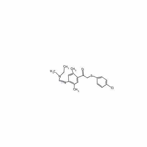 CCN(C)/C=N\c1cc(C)c(C(=O)CSc2ccc(Cl)cc2)cc1C